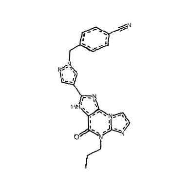 CCCn1c(=O)c2[nH]c(-c3cnn(Cc4ccc(C#N)cc4)c3)nc2n2ccnc12